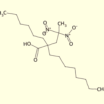 CCCCCCCCC(CCCCCC)(CC(C)([N+](=O)[O-])[N+](=O)[O-])C(=O)O